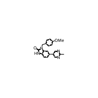 COc1ccc(Cn2c(=O)[nH]c3ccc(-c4cnc(C)nc4)cc32)cc1